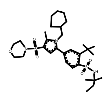 CCC(C)(C)NS(=O)(=O)c1ccc(-c2cc(S(=O)(=O)N3CCOCC3)c(C)n2CC2CCCCC2)cc1C(C)(C)C